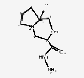 NNC(=O)[C@H]1CN2CCC[C@@H]2CO1